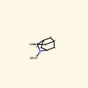 CON1C2CC3CC(C2)[C@@H]1C3